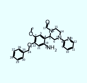 COc1cc(C2CN(c3ccccn3)CCN2C=O)c(N)cc1OCc1ccccc1